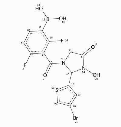 O=C1CN(C(=O)c2c(F)ccc(B(O)O)c2F)C(c2cc(Br)cs2)N1O